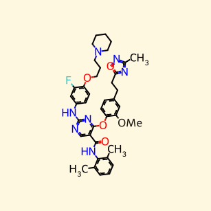 COc1cc(CCc2nc(C)no2)ccc1Oc1nc(Nc2ccc(OCCCN3CCCCC3)c(F)c2)ncc1C(=O)Nc1c(C)cccc1C